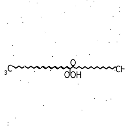 CCCCCCCCCC=CC=CC=CC=CC=CC=C(C(=O)O)C(=O)CCCCCCCCCCCCCCC